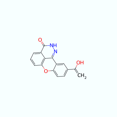 C=C(O)c1ccc2c(c1)-c1n[nH]c(=O)c3cccc(c13)O2